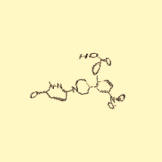 Cn1nc(N2CCC(c3cc([N+](=O)[O-])ccc3OC(=O)O)CC2)ccc1=O